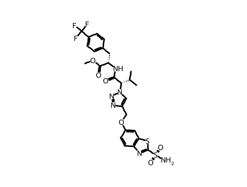 COC(=O)[C@H](Cc1ccc(C(F)(F)F)cc1)NC(=O)[C@H](C(C)C)n1cc(COc2ccc3nc(S(N)(=O)=O)sc3c2)nn1